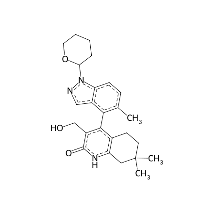 Cc1ccc2c(cnn2C2CCCCO2)c1-c1c2c([nH]c(=O)c1CO)CC(C)(C)CC2